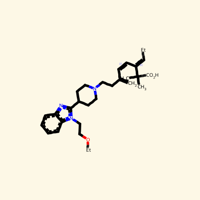 C=C(/C=C\C(=C/CC)C(C)(C)C(=O)O)CCN1CCC(c2nc3ccccc3n2CCOCC)CC1